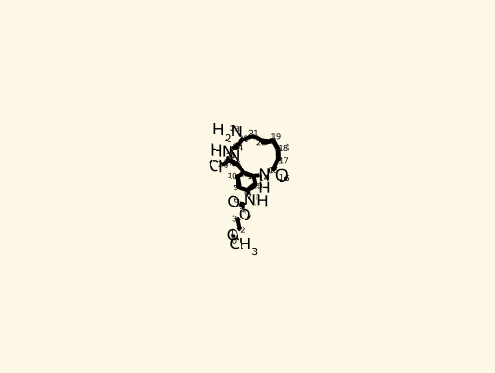 COCCOC(=O)Nc1ccc2c(c1)NC(=O)CC/C=C/C[C@H](N)c1nc-2c(Cl)[nH]1